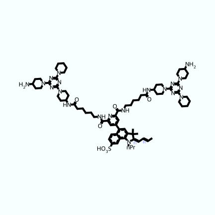 C/C=C/C=C1/N(CCC)c2c(cc(-c3cc(C(=O)NCCCCCC(=O)NC4CCN(c5nc(N6CCCCC6)nc(N6CCC(N)CC6)n5)CC4)nc(C(=O)NCCCCCC(=O)NC4CCN(c5nc(N6CCCCC6)nc(N6CCC(N)CC6)n5)CC4)c3)c3ccc(S(=O)(=O)O)cc23)C1(C)C